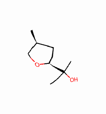 C[C@@H]1CO[C@H](C(C)(C)O)C1